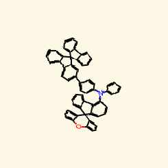 c1ccc(N(c2ccc(-c3ccc4c(c3)C3(c5ccccc5-c5ccccc53)c3ccccc3-4)cc2)c2cccc3c2-c2ccccc2C32c3ccccc3Oc3ccccc32)cc1